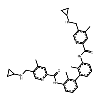 Cc1cc(C(=O)Nc2cccc(-c3cccc(NC(=O)c4cc(C)c(CNC5CC5)cn4)c3C)c2C)ncc1CNC1CC1